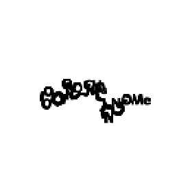 COc1ccc2nccc(C=CC(=O)N(C)C[C@H]3CN(c4ccc5c(c4)OCCO5)C(=O)O3)c2n1